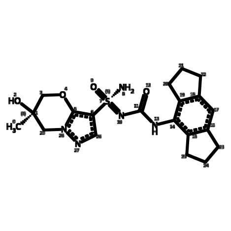 C[C@]1(O)COc2c([S@@](N)(=O)=NC(=O)Nc3c4c(cc5c3CCC5)CCC4)cnn2C1